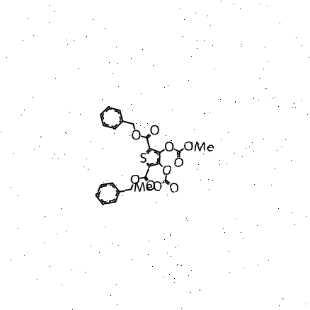 COC(=O)Oc1c(C(=O)OCc2ccccc2)sc(C(=O)OCc2ccccc2)c1OC(=O)OC